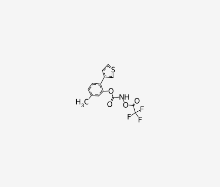 Cc1ccc(-c2ccsc2)c(OC(=O)NOC(=O)C(F)(F)F)c1